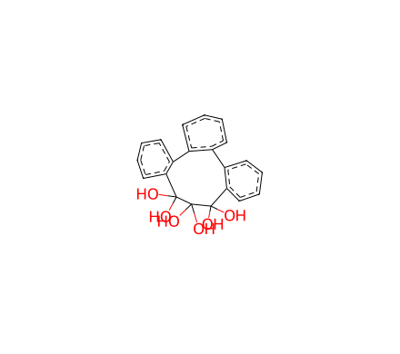 OC1(O)c2ccccc2-c2ccccc2-c2ccccc2C(O)(O)C1(O)O